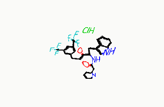 Cl.O=C(Cc1ccccn1)NC(Cc1c[nH]c2ccccc12)C(=O)CCc1cc(C(F)(F)F)cc(C(F)(F)F)c1